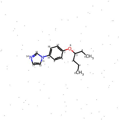 CCCC(CC)Oc1ccc(-n2ccnc2)cc1